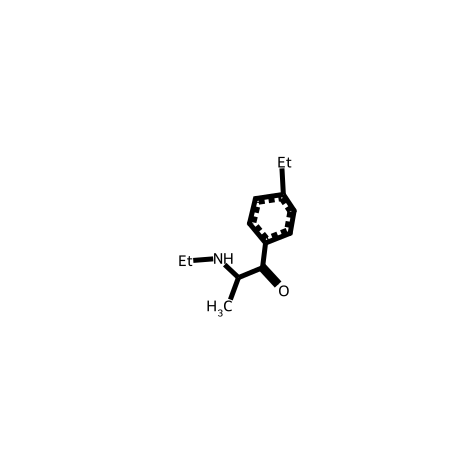 CCNC(C)C(=O)c1ccc(CC)cc1